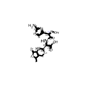 CC1OC(=O)C2=C1CS[C@H](C(NC(=O)/C(=N\O)c1csc(N)n1)C(=O)O)N2